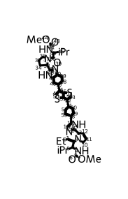 CC/C=C(\C(NC(=O)OC)C(C)C)N1CC=CC1c1ncc(-c2ccc(-c3csc4c(-c5ccc6nc(C7CCCN7C(=O)C(NC(=O)OC)C(C)C)[nH]c6c5)csc34)cc2)[nH]1